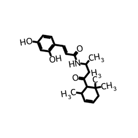 CC(CC(=O)C1C(C)C=CCC1(C)C)NC(=O)C=Cc1ccc(O)cc1O